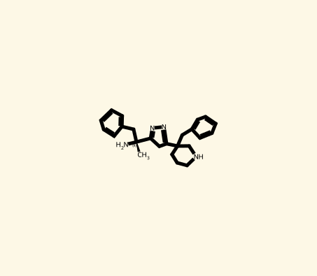 C[C@@](N)(Cc1ccccc1)C1=NN=C(C2(Cc3ccccc3)CCCNC2)C1